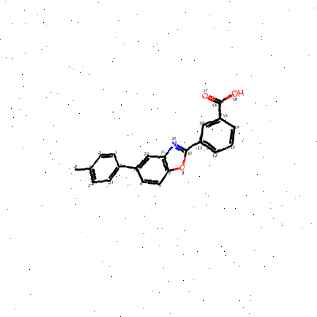 Cc1ccc(-c2ccc3oc(-c4cccc(C(=O)O)c4)nc3c2)cc1